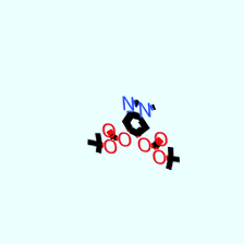 Cn1cnc2cc(OC(=O)OC(C)(C)C)c(OC(=O)OC(C)(C)C)cc21